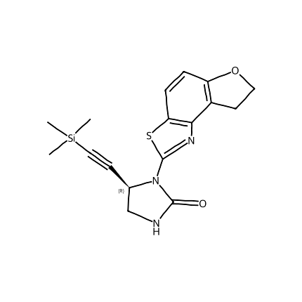 C[Si](C)(C)C#C[C@@H]1CNC(=O)N1c1nc2c3c(ccc2s1)OCC3